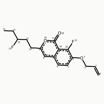 C=CCOc1ccc2cc(CCC(F)CC)oc(=O)c2c1F